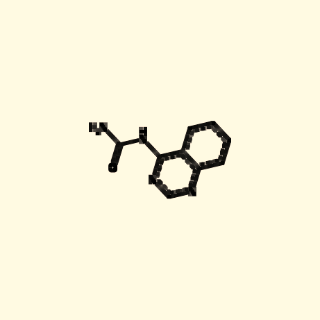 NC(=O)Nc1ncnc2ccccc12